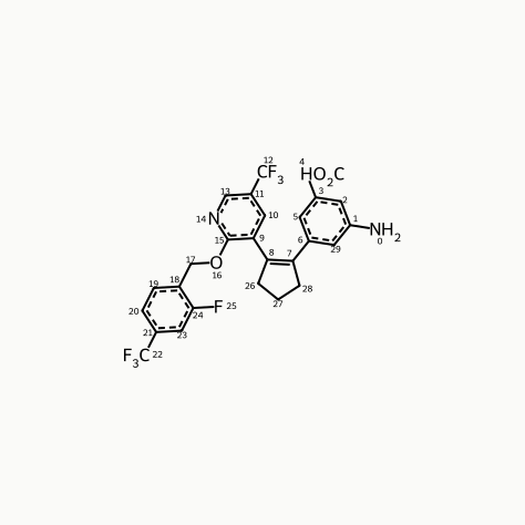 Nc1cc(C(=O)O)cc(C2=C(c3cc(C(F)(F)F)cnc3OCc3ccc(C(F)(F)F)cc3F)CCC2)c1